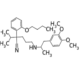 CCCCOc1ccccc1C(C#N)(CCCNC(C)Cc1ccc(OC)c(OC)c1)C(C)C